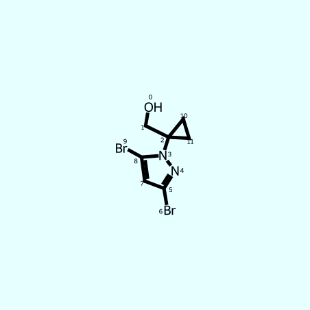 OCC1(n2nc(Br)cc2Br)CC1